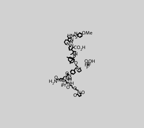 COc1ccc2sc(Nc3nnc4c(c3C)CCCN4c3ccc(-c4cnn(CC56CC7(C)CC(C)(C5)CC(OCC[N+]5(Cc8ccc(NC(=O)[C@H](CCCNC(N)=O)NC(=O)[C@@H](NC(=O)CCOCCN9C(=O)C=CC9=O)C(C)C)cc8)CCCC5)(C7)C6)c4C)c(C(=O)O)n3)nc2c1.O=C(O)C(F)(F)F